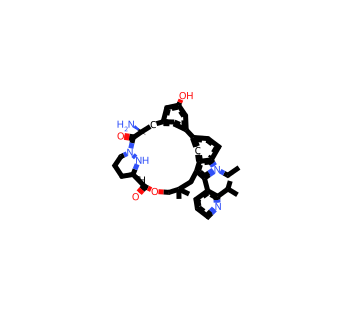 CCn1c(-c2cccnc2C(C)C)c2c3cc(ccc31)-c1cc(O)cc(c1)C[C@H](N)C(=O)N1CCC[C@H](N1)C(=O)OCC(C)(C)C2